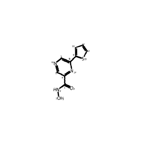 O=C(NO)c1cncc(-c2cccs2)n1